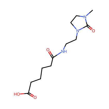 CN1CCN(CCNC(=O)CCCCC(=O)O)C1=O